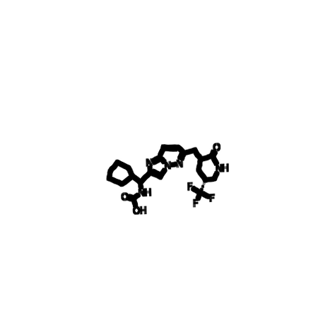 O=C(O)NC(c1cn2nc(CC3C[C@@H](C(F)(F)F)CNC3=O)ccc2n1)C1CCCCC1